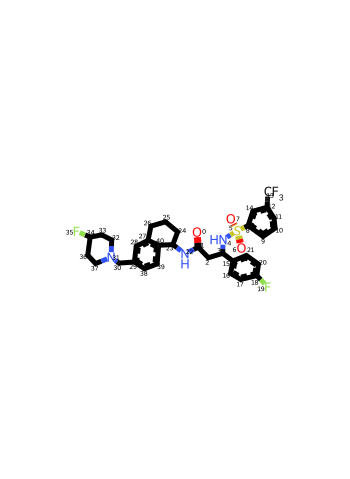 O=C(CC(NS(=O)(=O)c1cccc(C(F)(F)F)c1)c1ccc(F)cc1)NC1CCCc2cc(CN3CCC(F)CC3)ccc21